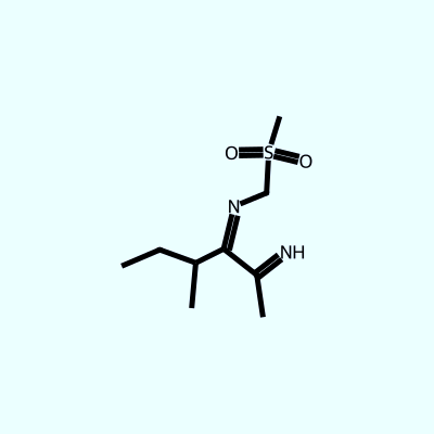 CCC(C)/C(=N/CS(C)(=O)=O)C(C)=N